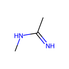 CNC(C)=N